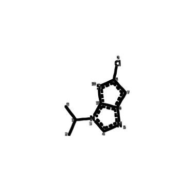 CC(C)n1cnc2cc(Cl)sc21